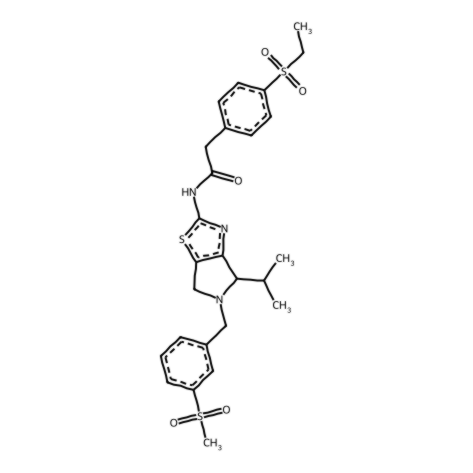 CCS(=O)(=O)c1ccc(CC(=O)Nc2nc3c(s2)CN(Cc2cccc(S(C)(=O)=O)c2)C3C(C)C)cc1